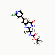 CC(C)(C)OC(=O)NC(C)(C)c1nc2cc(-c3ccnc(F)c3)sc2c(=O)[nH]1